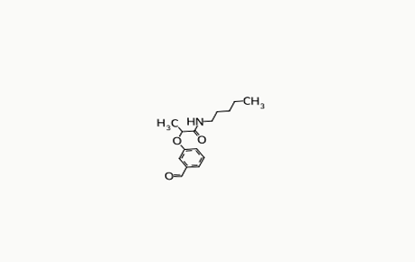 CCCCCNC(=O)C(C)Oc1cccc(C=O)c1